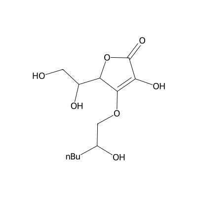 CCCCC(O)COC1=C(O)C(=O)OC1C(O)CO